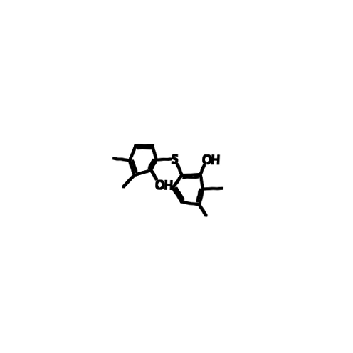 Cc1ccc(Sc2ccc(C)c(C)c2O)c(O)c1C